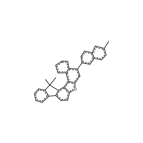 CC1(C)c2ccccc2-c2ccc3oc4cc(-c5ccc6cc(I)ccc6c5)c5ccccc5c4c3c21